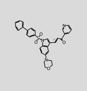 O=C(/C=C/c1cn(S(=O)(=O)c2ccc(-c3ccccc3)cc2)c2ccc(N3CCOCC3)cc12)c1cccnc1